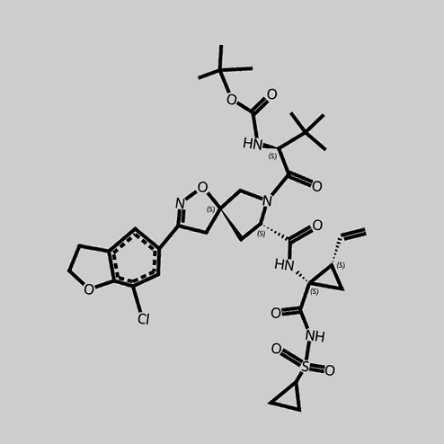 C=C[C@@H]1C[C@@]1(NC(=O)[C@@H]1C[C@]2(CC(c3cc(Cl)c4c(c3)CCO4)=NO2)CN1C(=O)[C@@H](NC(=O)OC(C)(C)C)C(C)(C)C)C(=O)NS(=O)(=O)C1CC1